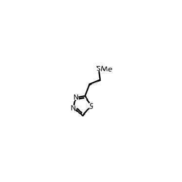 CSCCc1nncs1